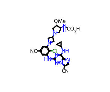 CO[C@H]1CN(C2CN(c3cc(C#N)cc(Nc4nc(NC5CC5)c5ncc(C#N)n5n4)c3Cl)C2)C[C@@H]1NC(=O)O